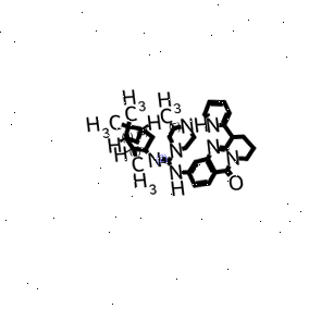 C[C@@H]1C(/N=C(/Nc2ccc3c(=O)n4c(nc3c2)C(c2ccccn2)CCC4)N2CCN[C@@H](C)C2)C[C@@H]2C[C@H]1C2(C)C